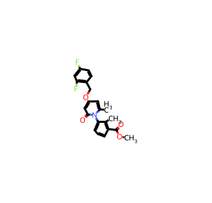 COC(=O)c1cccc(-n2c(C)cc(OCc3ccc(F)cc3F)cc2=O)c1C